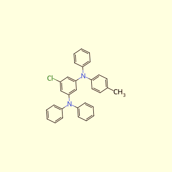 Cc1ccc(N(c2ccccc2)c2cc(Cl)cc(N(c3ccccc3)c3ccccc3)c2)cc1